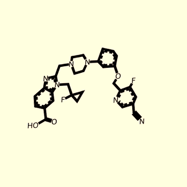 N#Cc1cnc(COc2cccc(N3CCN(Cc4nc5ccc(C(=O)O)cc5n4CC4(F)CC4)CC3)c2)c(F)c1